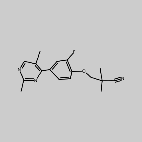 Cc1ncc(C)c(-c2ccc(OCC(C)(C)C#N)c(F)c2)n1